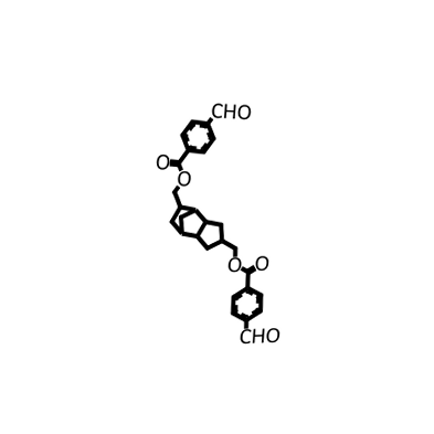 O=Cc1ccc(C(=O)OCC2CC3C4CC(COC(=O)c5ccc(C=O)cc5)C(C4)C3C2)cc1